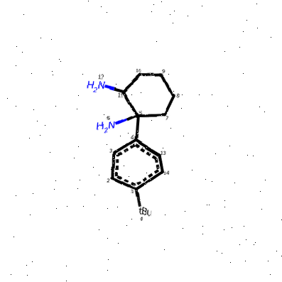 CC(C)(C)c1ccc(C2(N)CCCCC2N)cc1